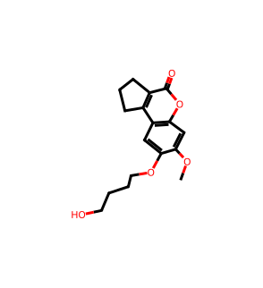 COc1cc2oc(=O)c3c(c2cc1OCCCCO)CCC3